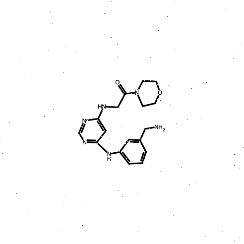 NCc1cccc(Nc2cc(NCC(=O)N3CCOCC3)ncn2)c1